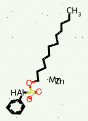 CCCCCCCCCCCCO[S](=O)(=O)[AlH][c]1ccccc1.[Mn].[Zn]